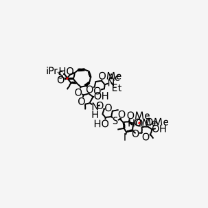 CCN(C(C)=O)C1COC(OC2C(OC3C#C/C=C\C#C[C@]4(O)CC(=O)C(C)=C3/C4=C/CSC(C)C)OC(C)C(NOC3CC(O)C(SC(=O)c4c(C)c(I)c(OC5OC(C)C(O)C(OC)C5O)c(OC)c4OC)C(C)O3)C2O)CC1OC